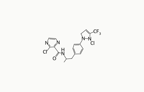 CC(Cc1ccc(N2CC=C(C(F)(F)F)N2Cl)cc1)NC(=O)c1nccnc1Cl